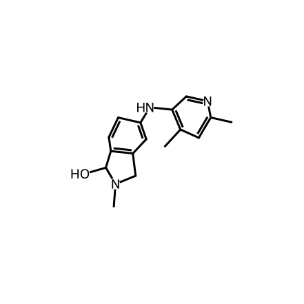 Cc1cc(C)c(Nc2ccc3c(c2)CN(C)C3O)cn1